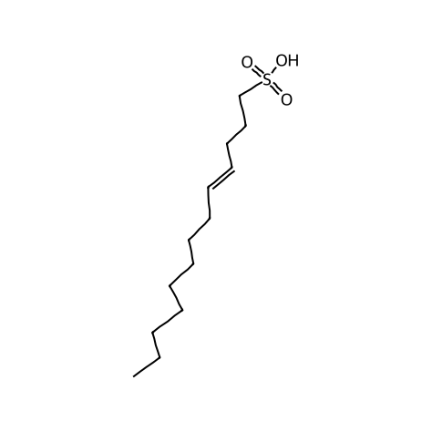 CCCCCCCC/C=C/CCCS(=O)(=O)O